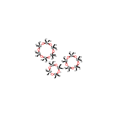 C[Si]1(C)O[Si](C)(C)O[Si](C)(C)O[Si](C)(C)O1.C[Si]1(C)O[Si](C)(C)O[Si](C)(C)O[Si](C)(C)O[Si](C)(C)O1.C[Si]1(C)O[Si](C)(C)O[Si](C)(C)O[Si](C)(C)O[Si](C)(C)O[Si](C)(C)O1